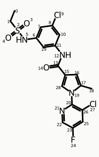 CCS(=O)(=O)Nc1cc(Cl)cc(NC(=O)c2cc(C)n(-c3ncc(F)cc3Cl)c2)c1